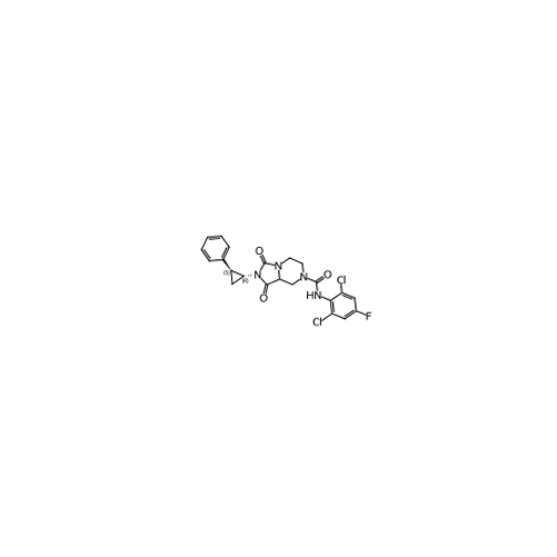 O=C(Nc1c(Cl)cc(F)cc1Cl)N1CCN2C(=O)N([C@@H]3C[C@H]3c3ccccc3)C(=O)C2C1